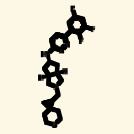 Fc1cc(F)c(F)c(-c2ccc(N[C@H]3C[C@@H]4CN(CC5CC56CCOCC6)C[C@@H]4C3)nn2)c1